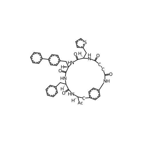 CC(=O)[C@@H]1Cc2ccc(cc2)NC(=O)CCC(=O)N[C@H](Cc2cccs2)C(=O)N[C@@H](Cc2ccc(-c3ccccc3)cc2)C(=O)N[C@H](Cc2ccccc2)C(=O)N1